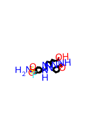 NS(=O)(=O)c1ccc(Nc2ncc3cc4n(c3n2)C2(CCCCC2)C(=O)NC4O)cc1F